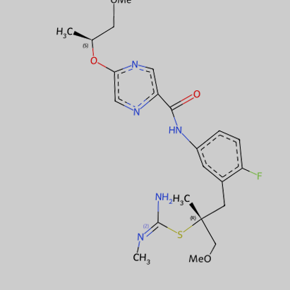 C/N=C(/N)S[C@@](C)(COC)Cc1cc(NC(=O)c2cnc(O[C@@H](C)COC)cn2)ccc1F